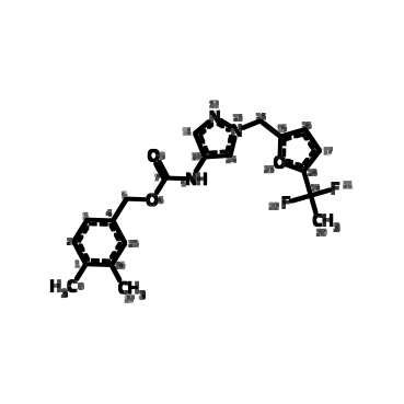 Cc1ccc(COC(=O)Nc2cnn(Cc3ccc(C(C)(F)F)o3)c2)cc1C